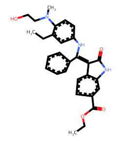 CCOC(=O)c1ccc2c(c1)NC(=O)/C2=C(\Nc1ccc(N(C)CCO)c(CC)c1)c1ccccc1